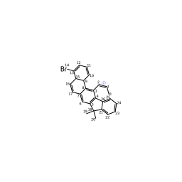 C/C=C\c1c2c(cc3c1C1C=CC=C(Br)C1C=C3)C(C)(C)c1ccccc1-2